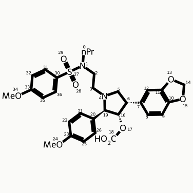 CCCN(CCN1C[C@H](c2ccc3c(c2)OCO3)[C@H](OC(=O)O)[C@H]1c1ccc(OC)cc1)S(=O)(=O)c1ccc(OC)cc1